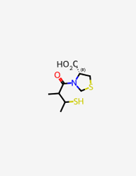 CC(S)C(C)C(=O)N1CSC[C@H]1C(=O)O